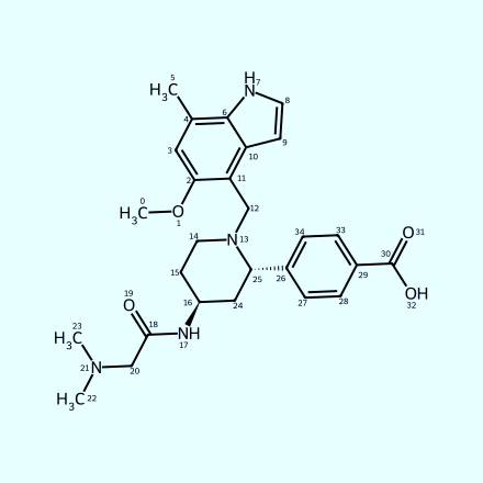 COc1cc(C)c2[nH]ccc2c1CN1CC[C@H](NC(=O)CN(C)C)C[C@H]1c1ccc(C(=O)O)cc1